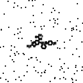 CC(=O)Nc1cc2c(cc1Nc1ccccc1Oc1ccc(Cl)cc1)OC(C)O2